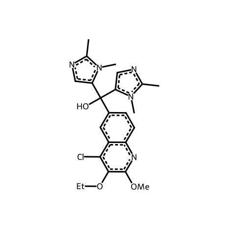 CCOc1c(OC)nc2ccc(C(O)(c3cnc(C)n3C)c3cnc(C)n3C)cc2c1Cl